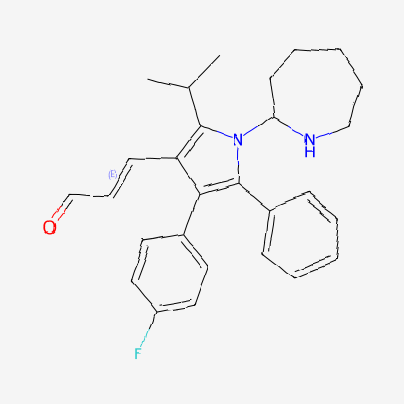 CC(C)c1c(/C=C/C=O)c(-c2ccc(F)cc2)c(-c2ccccc2)n1C1CCCCCN1